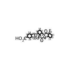 CC(C)(C)OC(=O)CN(C(=O)c1c(F)cccc1F)c1cccc(OCc2ccc(C(=O)O)cc2)c1